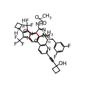 Cn1nc(NS(C)(=O)=O)c2c(Cl)ccc(-c3ccc(C#CC4(O)CCC4)nc3[C@H](Cc3cc(F)cc(F)c3)NC(=O)Cn3nc(C(F)(F)F)c4c3C(F)(F)[C@@H]3CC[C@H]43)c21